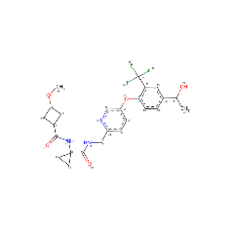 COC1CC(C(=O)NC2(C(=O)NCc3ccc(Oc4ccc(C(C)O)cc4C(F)(F)F)cn3)CC2)C1